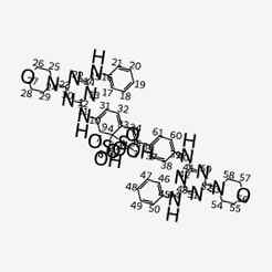 O=S(=O)(O)C1(S(=O)(=O)O)CC(Nc2nc(Nc3ccccc3)nc(N3CCOCC3)n2)=CC=C1C=Cc1ccc(Nc2nc(Nc3ccccc3)nc(N3CCOCC3)n2)cc1